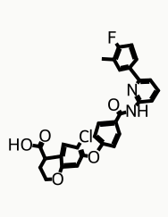 C=C(/C=C1/OCCC(C(=O)O)/C1=C/CCl)Oc1ccc(C(=O)Nc2cccc(-c3ccc(F)c(C)c3)n2)cc1